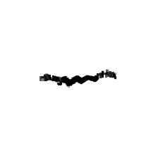 [CH2]CCCCCCCCCCCSCCCC